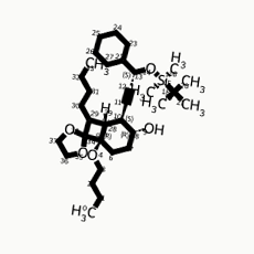 CCCCO[C@]12CC[C@@H](O)[C@H](C#C[C@@H](O[Si](C)(C)C(C)(C)C)C3CCCCC3)[C@H]1C(CCCC)C21OCCO1